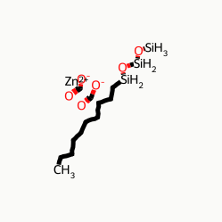 CCCCCCCCCC[SiH2]O[SiH2]O[SiH3].O=C[O-].O=C[O-].[Zn+2]